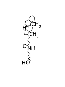 CC12CCCCC1CC[C@@H]1C2CCC2(C)C(CCCC(=O)NCCCSO)CCC12